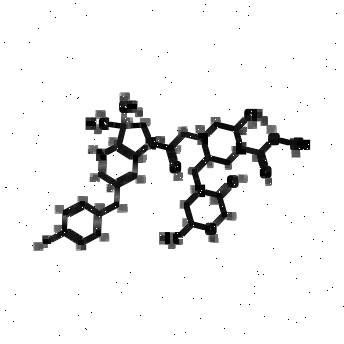 CC1CN(CC2CN(C(=O)OC(C)(C)C)C(C)CN2CC(=O)N2CC(C)(C)c3ncc(Cc4ccc(F)cc4)cc32)C(=O)CO1